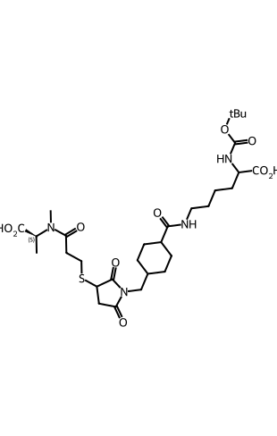 C[C@@H](C(=O)O)N(C)C(=O)CCSC1CC(=O)N(CC2CCC(C(=O)NCCCCC(NC(=O)OC(C)(C)C)C(=O)O)CC2)C1=O